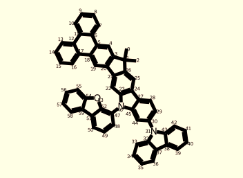 CC1(C)c2cc3c4ccccc4c4ccccc4c3cc2-c2cc3c(cc21)c1ccc(-n2c4ccccc4c4ccccc42)cc1n3-c1cccc2c1oc1ccccc12